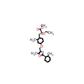 CCO[C@@H](Cc1ccc(OCc2nc(-c3ccccc3C)oc2C)cc1C)C(=O)OC